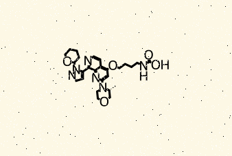 C[C@@H]1COCCN1c1cc(OCCCCNC(=O)O)c2ccnc(-c3ccnn3C3CCCCO3)c2n1